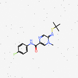 Cn1cc(C(=O)Nc2ccc(F)cc2)nc/c1=N\SC(C)(C)C